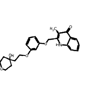 Cc1c(COc2cccc(OCCC3(O)CCOCC3)c2)[nH]c2ccccc2c1=O